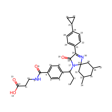 CCC(c1ccc(C(=O)NCCC(=O)O)cc1)N1C(=O)C(c2ccc(C3CC3)cc2)=NC12CC(C)CC(C)C2